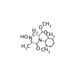 COC(=O)C(C)N(C(=O)C(C)=NO)c1c(C)cccc1C